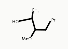 COC(CC(C)C)C(C)O